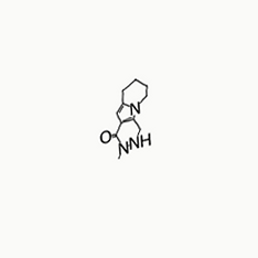 CN1NCc2c(cc3n2CCCC3)C1=O